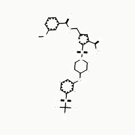 COc1cccc(C(=O)NCc2cc(C(=O)O)c(S(=O)(=O)N3CCC(Nc4cccc(S(=O)(=O)C(F)(F)F)c4)CC3)s2)c1